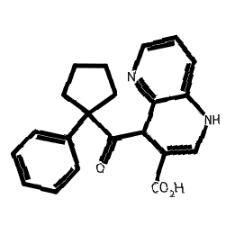 O=C(O)C1=CNc2cccnc2C1C(=O)C1(c2ccccc2)CCCC1